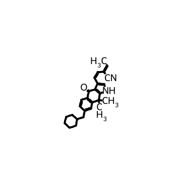 C/C=C(C#N)\C=C/c1c[nH]c2c1C(=O)c1ccc(CC3CCCCC3)cc1C2(C)C